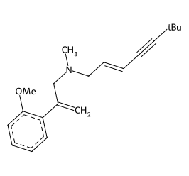 C=C(CN(C)C/C=C/C#CC(C)(C)C)c1ccccc1OC